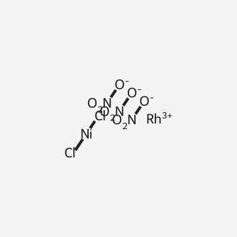 O=[N+]([O-])[O-].O=[N+]([O-])[O-].O=[N+]([O-])[O-].[Cl][Ni][Cl].[Rh+3]